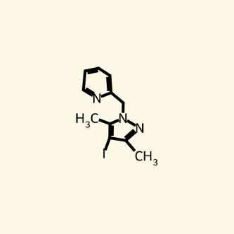 Cc1nn(Cc2ccccn2)c(C)c1I